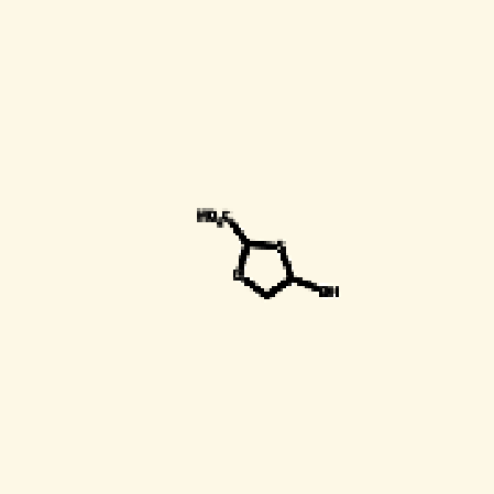 O=C(O)C1OCC(O)S1